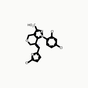 O=C(O)c1nn(-c2ccc(Cl)cc2Cl)c2c1COC/C2=C\c1ccc(Cl)o1